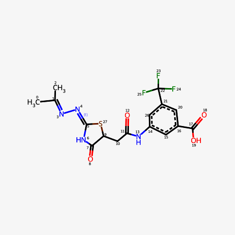 CC(C)=N/N=C1\NC(=O)C(CC(=O)Nc2cc(C(=O)O)cc(C(F)(F)F)c2)S1